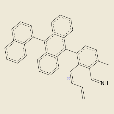 C=C/C=C\c1c(-c2c3ccccc3c(-c3cccc4ccccc34)c3ccccc23)ccc(C)c1C=N